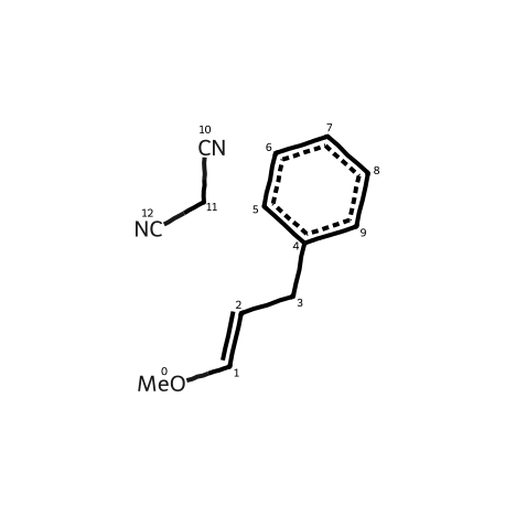 COC=CCc1ccccc1.N#CCC#N